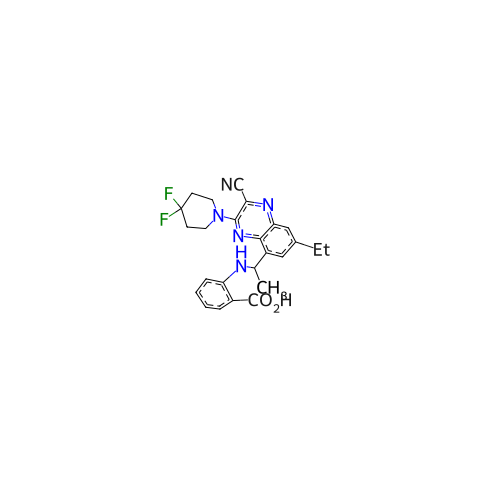 CCc1cc(C(C)Nc2ccccc2C(=O)O)c2nc(N3CCC(F)(F)CC3)c(C#N)nc2c1